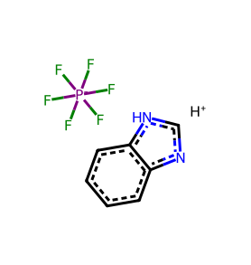 F[P-](F)(F)(F)(F)F.[H+].c1ccc2[nH]cnc2c1